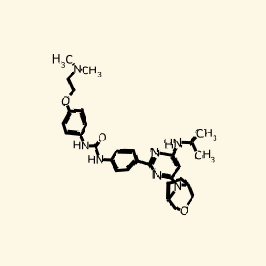 CC(C)Nc1cc(N2C3CCC2COC3)nc(-c2ccc(NC(=O)Nc3ccc(OCCN(C)C)cc3)cc2)n1